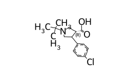 CC(C)(C)N1CC(c2ccc(Cl)cc2)[C@@H](C(=O)O)C1